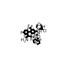 [2H]C([2H])(Oc1nc(N2CCOC[C@H]3[C@H](Cl)[C@H]32)c2cc(C(F)(F)F)c(-c3ccc(F)c4sc(N)c(C#N)c34)c(F)c2n1)[C@@]12CCCN1C[C@H](F)C2